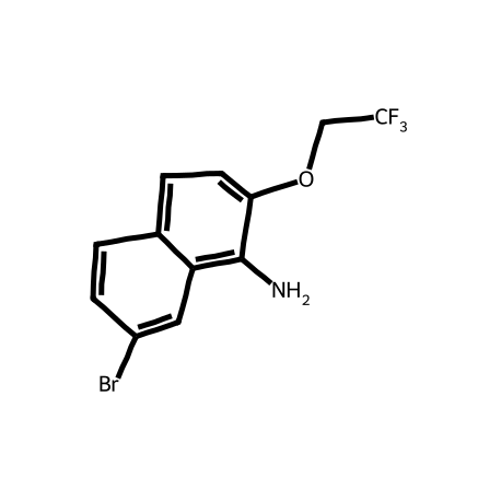 Nc1c(OCC(F)(F)F)ccc2ccc(Br)cc12